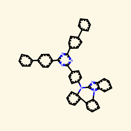 c1ccc(-c2ccc(-c3nc(-c4ccc(-c5ccccc5)cc4)nc(-c4ccc(N5c6ccccc6-c6ccccc6-n6c5nc5ccccc56)cc4)n3)cc2)cc1